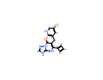 O=c1c(Cc2cncc(Cl)c2)c(C2=CC=C2)[nH]c2ncnn12